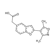 Cc1noc(C)c1-c1cc2cc(CC(=O)O)ccc2o1